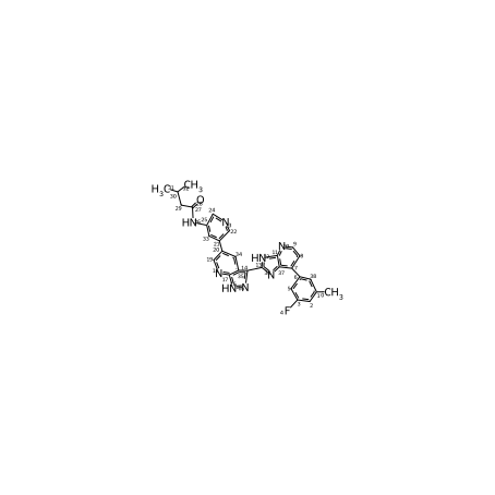 Cc1cc(F)cc(-c2ccnc3[nH]c(-c4n[nH]c5ncc(-c6cncc(NC(=O)CC(C)C)c6)cc45)nc23)c1